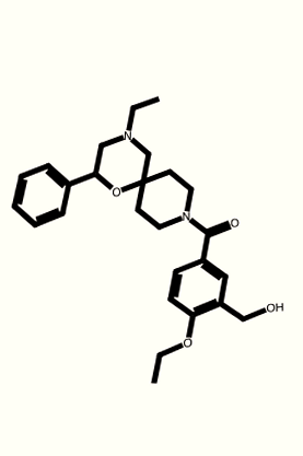 CCOc1ccc(C(=O)N2CCC3(CC2)CN(CC)CC(c2ccccc2)O3)cc1CO